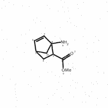 COC(=O)C1CC2C=CC1(N)C2